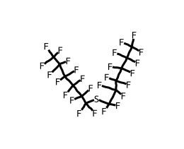 FC(F)(F)C(F)(F)C(F)(F)C(F)(F)C(F)(F)C(F)(F)SC(F)(F)C(F)(F)C(F)(F)C(F)(F)C(F)(F)C(F)(F)F